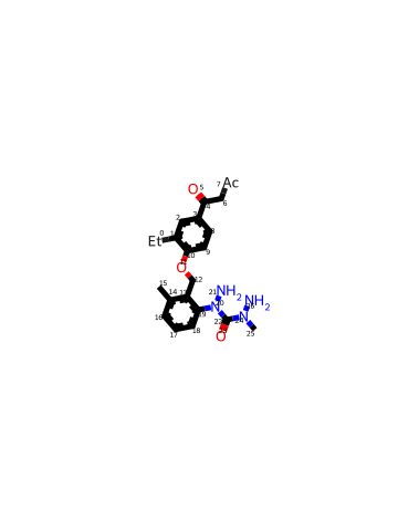 CCc1cc(C(=O)CC(C)=O)ccc1OCc1c(C)cccc1N(N)C(=O)N(C)N